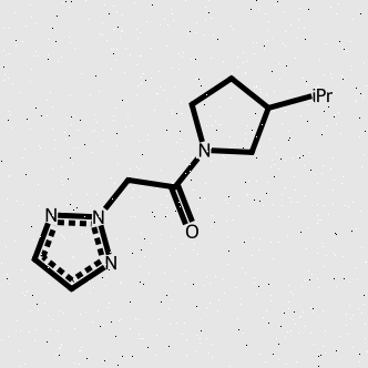 CC(C)C1CCN(C(=O)Cn2nccn2)C1